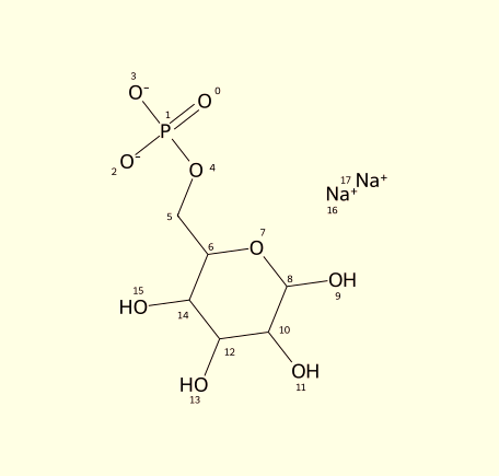 O=P([O-])([O-])OCC1OC(O)C(O)C(O)C1O.[Na+].[Na+]